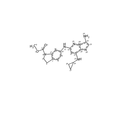 COC(=O)N1CCc2ccc(Nc3cc(NC4CC4)c4ncc(N)n4n3)cc21